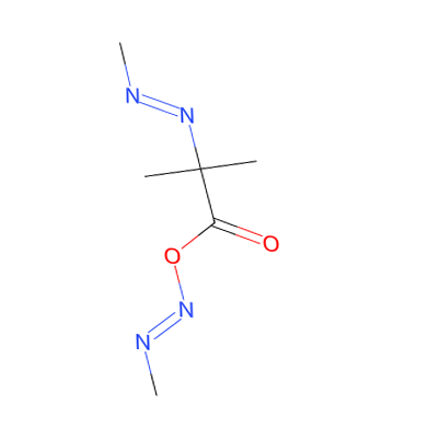 CN=NOC(=O)C(C)(C)N=NC